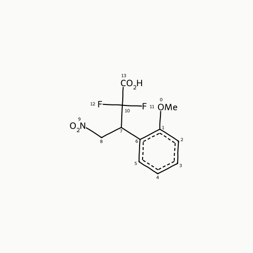 COc1ccccc1C(C[N+](=O)[O-])C(F)(F)C(=O)O